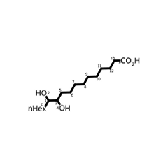 CCCCCCC(O)C(O)CCCCCCCCCC(=O)O